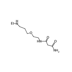 CCNCCCOCCNC(=O)CC(N)=O